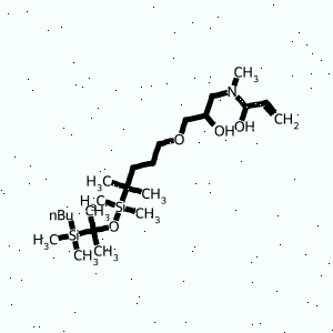 C=CC(O)N(C)CC(O)COCCCC(C)(C)[Si](C)(C)OC(C)(C)[Si](C)(C)CCCC